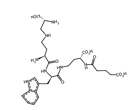 CCCCCCCC[C@H](N)CNCC[C@H](N)C(=O)N[C@H](Cc1c[nH]c2ccccc12)C(=O)NCC[C@@H](NC(=O)CCCC(=O)O)C(=O)O